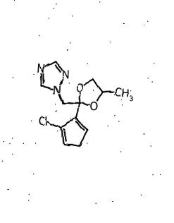 CC1COC(Cn2cncn2)(C2=CCC=C2Cl)O1